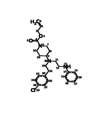 C=CCOC(=O)N1CCC(N(CCNc2ccccc2)CCc2ccc(Cl)cc2)CC1